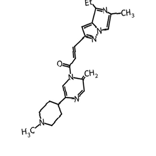 C=C1C=NC(C2CCN(C)CC2)=CN1C(=O)/C=C/c1cc2c(CC)nc(C)cn2n1